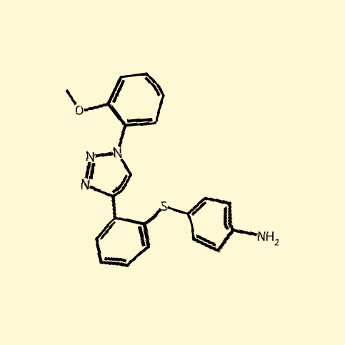 COc1ccccc1-n1cc(-c2ccccc2Sc2ccc(N)cc2)nn1